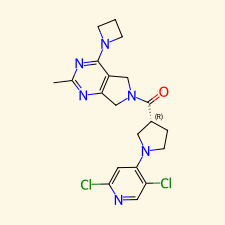 Cc1nc2c(c(N3CCC3)n1)CN(C(=O)[C@@H]1CCN(c3cc(Cl)ncc3Cl)C1)C2